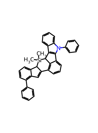 C[Si]1(C)C2C(=Cc3c(-c4ccccc4)cccc32)c2cccc3c2C1c1c-3n(-c2ccccc2)c2ccccc12